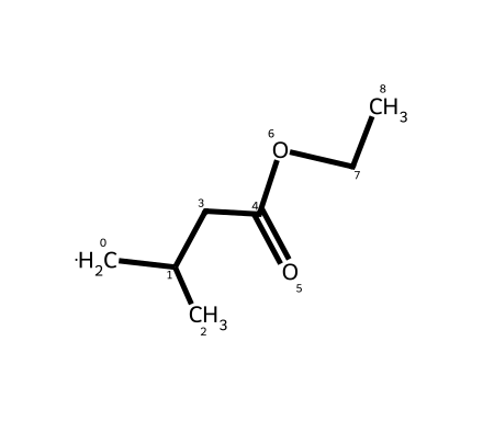 [CH2]C(C)CC(=O)OCC